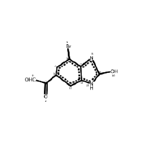 O=CC(=O)c1cc(Br)c2nc(O)[nH]c2c1